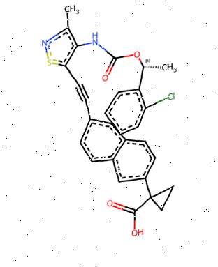 Cc1nsc(C#Cc2ccc3cc(C4(C(=O)O)CC4)ccc3c2)c1NC(=O)O[C@H](C)c1ccccc1Cl